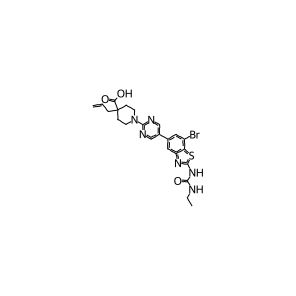 C=CCC1(C(=O)O)CCN(c2ncc(-c3cc(Br)c4sc(NC(=O)NCC)nc4c3)cn2)CC1